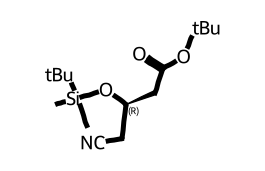 CC(C)(C)OC(=O)C[C@@H](CC#N)O[Si](C)(C)C(C)(C)C